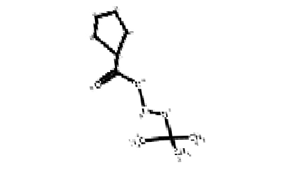 CC(C)(C)OOOC(=O)C1CCCC1